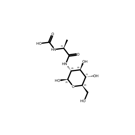 C[C@H](NC(=O)O)C(=O)N[C@@H]1[C@@H](O)[C@H](O)[C@@H](CO)O[C@H]1O